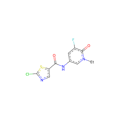 CCn1cc(NC(=O)c2cnc(Cl)s2)cc(F)c1=O